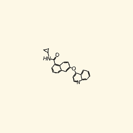 O=C(NC1CC1)c1cccc2cc(Oc3ccnc4ccccc34)ccc12